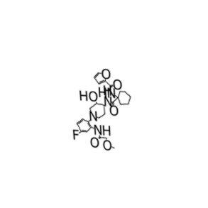 COCC(=O)Nc1cc(F)ccc1N1CCC(NC(=O)C2(NC(=O)c3ccco3)CCCCC2)C(O)C1